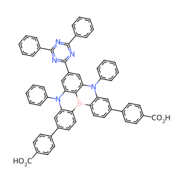 O=C(O)c1ccc(-c2ccc3c(c2)N(c2ccccc2)c2cc(-c4nc(-c5ccccc5)nc(-c5ccccc5)n4)cc4c2B3c2ccc(-c3ccc(C(=O)O)cc3)cc2N4c2ccccc2)cc1